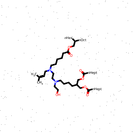 CCCCCCCCC(CCCCCC)COC(=O)CCCCCN(CC=C(C)C)CCN(CCO)CCCCC(COC(=O)CCCCCCC)COC(=O)CCCCCCC